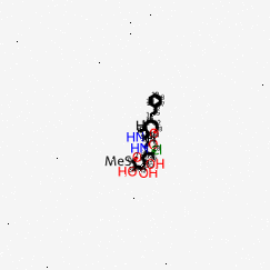 CSC1O[C@H]([C@H](NC(=O)[C@H]2NC[C@@H]3C[C@@H](CCc4ccccc4)CCO[C@H]32)[C@H](C)Cl)C(O)[C@@H](O)[C@H]1O